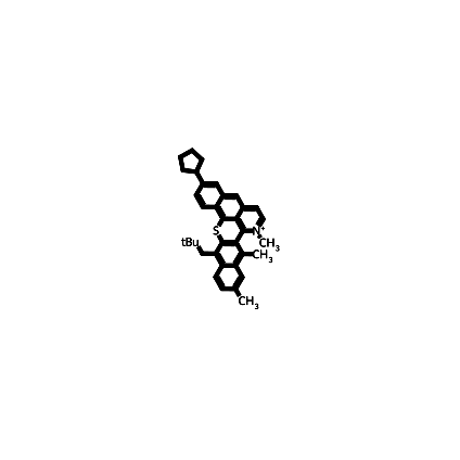 Cc1ccc2c(CC(C)(C)C)c3c(c(C)c2c1)-c1c2c(c4ccc(C5CCCC5)cc4cc2cc[n+]1C)S3